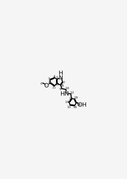 COc1ccc2[nH]cc(CCNCc3cccc(O)c3)c2c1